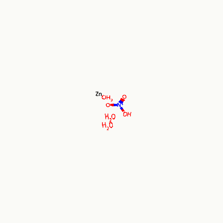 O.O.O.O=[N+]([O-])O.[Zn]